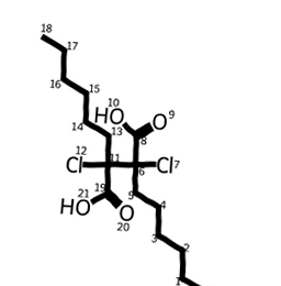 CCCCCCC(Cl)(C(=O)O)C(Cl)(CCCCCC)C(=O)O